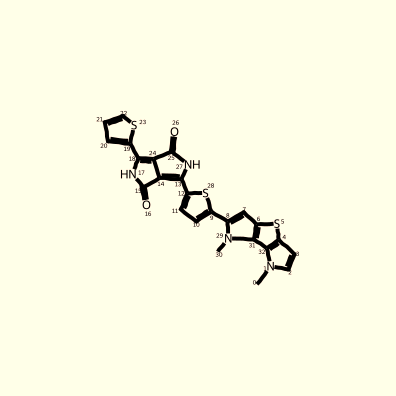 Cn1ccc2sc3cc(-c4ccc(C5=C6C(=O)NC(c7cccs7)=C6C(=O)N5)s4)n(C)c3c21